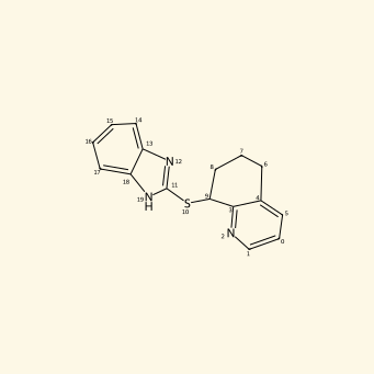 c1cnc2c(c1)CCCC2Sc1nc2ccccc2[nH]1